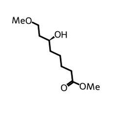 [CH2]OCC[C@@H](O)CCCCC(=O)OC